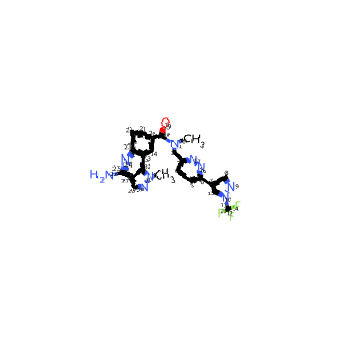 CN(Cc1ccc(-c2cnn(C(F)(F)F)c2)nn1)C(=O)c1ccc2nc(N)c3cnn(C)c3c2c1